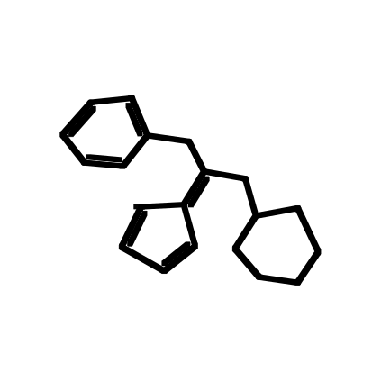 [C]1=CC=CC1=C(Cc1ccccc1)CC1CCCCC1